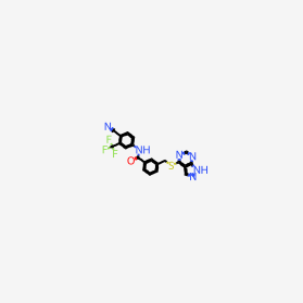 N#Cc1ccc(NC(=O)c2cccc(CSc3ncnc4[nH]ncc34)c2)cc1C(F)(F)F